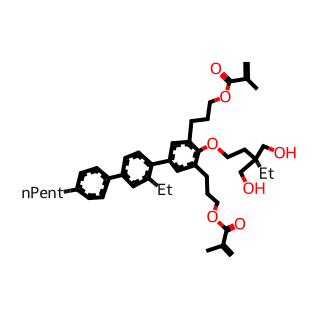 C=C(C)C(=O)OCCCc1cc(-c2ccc(-c3ccc(CCCCC)cc3)cc2CC)cc(CCCOC(=O)C(=C)C)c1OCCC(CC)(CO)CO